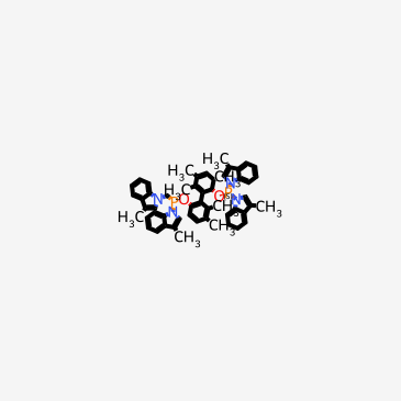 CC1=CC(C)C(O[P@@](n2cc(C)c3c2=CCCC=3)n2cc(C)c3ccccc32)C(c2c(OP(Cn3cc(C)c4ccccc43)n3cc(C)c4ccccc43)ccc(C)c2C)=C1C